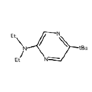 CCN(CC)c1cnc(C(C)(C)C)cn1